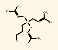 CCC(C)=NO[Si](CCCN)(ON=C(C)CC)ON=C(C)CC